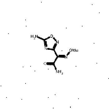 CO/N=C(/C(N)=O)c1noc(N)n1